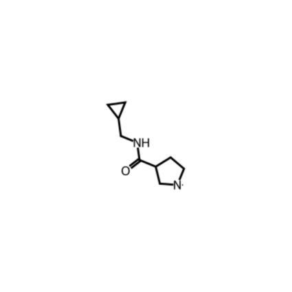 O=C(NCC1CC1)C1CC[N]C1